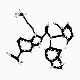 COCCn1c(C(=O)N(c2ccc3[nH]cnc3c2)c2c(F)cccc2Cl)nc2cc(C(=O)O)ccc21